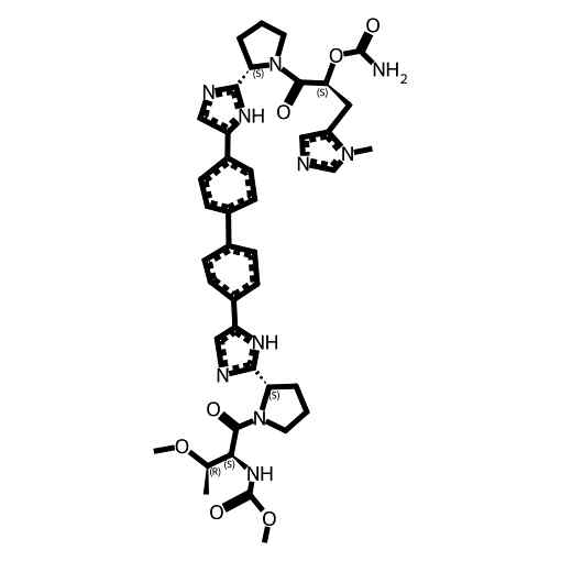 COC(=O)N[C@H](C(=O)N1CCC[C@H]1c1ncc(-c2ccc(-c3ccc(-c4cnc([C@@H]5CCCN5C(=O)[C@H](Cc5cncn5C)OC(N)=O)[nH]4)cc3)cc2)[nH]1)[C@@H](C)OC